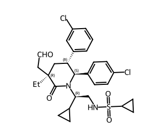 CC[C@]1(CC=O)C[C@H](c2cccc(Cl)c2)[C@@H](c2ccc(Cl)cc2)N([C@@H](CNS(=O)(=O)C2CC2)C2CC2)C1=O